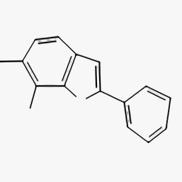 Cc1ccc2cc(-c3ccccc3)oc2c1C